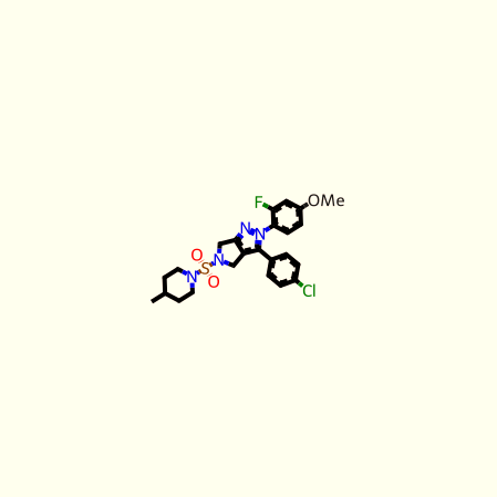 COc1ccc(-n2nc3c(c2-c2ccc(Cl)cc2)CN(S(=O)(=O)N2CCC(C)CC2)C3)c(F)c1